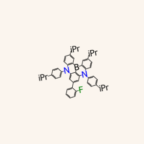 CC(C)c1ccc(N2c3ccc(C(C)C)cc3B3c4cc(C(C)C)ccc4N(c4ccc(C(C)C)cc4)c4cc(-c5ccccc5F)cc2c43)cc1